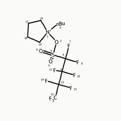 CCCC[N+]1(OS(=O)(=O)C(F)(F)C(F)(F)C(F)(F)C(F)(F)F)CCCC1